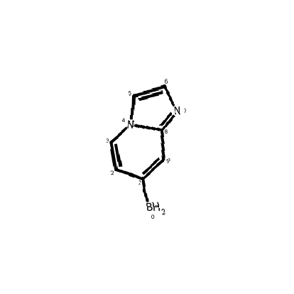 Bc1ccn2ccnc2c1